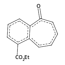 CCOC(=O)c1cccc2c(=O)ccccc12